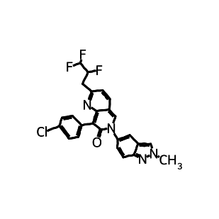 Cn1cc2cc(-n3cc4ccc(CC(F)C(F)F)nc4c(-c4ccc(Cl)cc4)c3=O)ccc2n1